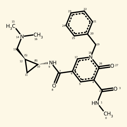 CNC(=O)c1cc(C(=O)N[C@@H]2C[C@H]2CN(C)C)cn(Cc2ccccc2)c1=O